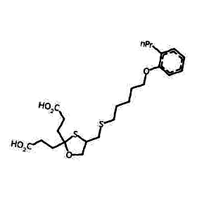 CCCc1ccccc1OCCCCCSCC1COC(CCC(=O)O)(CCC(=O)O)S1